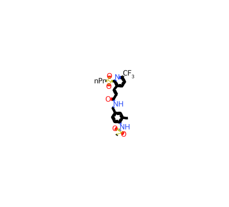 CCCS(=O)(=O)c1nc(C(F)(F)F)ccc1C=CC(=O)NCc1ccc(NS(C)(=O)=O)c(C)c1